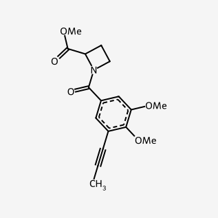 CC#Cc1cc(C(=O)N2CCC2C(=O)OC)cc(OC)c1OC